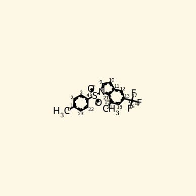 Cc1ccc(S(=O)(=O)n2ccc3cc(C(F)(F)F)cc(C)c32)cc1